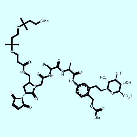 COCCC(C)(C)OCCC(C)(C)OCCC(=O)NC[C@@H]1C[C@@H](N2C(=O)C=CC2=O)C(=O)N1CC(=O)NC(C(=O)N[C@@H](C)C(=O)Nc1ccc(COC(=O)C(C)(C)C)c(CC[C@@H]2O[C@H](C(=O)O)[C@@H](O)[C@H](O)[C@H]2O)c1)C(C)C